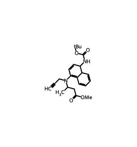 C#CCN(C1=C2C=CC=CC2C(NC(=O)OC(C)(C)C)C=C1)C(C)CC(=O)OC